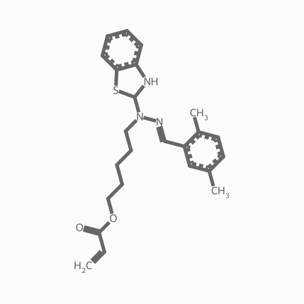 C=CC(=O)OCCCCCN(/N=C/c1cc(C)ccc1C)C1Nc2ccccc2S1